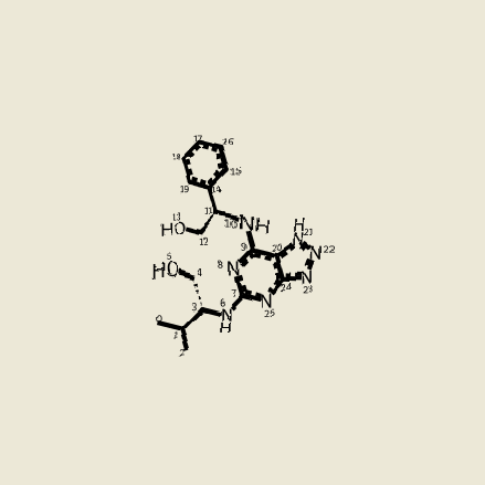 CC(C)[C@H](CO)Nc1nc(N[C@@H](CO)c2ccccc2)c2[nH]nnc2n1